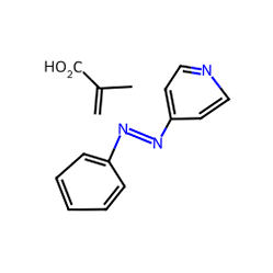 C=C(C)C(=O)O.c1ccc(N=Nc2ccncc2)cc1